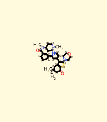 CN1CCC(N(C)C(=O)c2cccc(-c3cc(-c4c(N5CCOCC5)sc5c4CC(C)(C)CC5=O)ccn3)c2)CC1